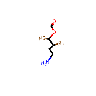 NCCC(S)C(S)OC=O